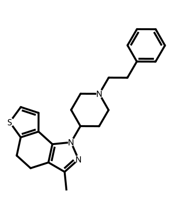 Cc1nn(C2CCN(CCc3ccccc3)CC2)c2c1CCc1sccc1-2